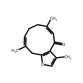 C/C1=C/C(=O)c2c(C)coc2C/C(C)=C\CC1